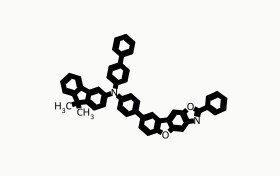 CC1(C)c2ccccc2-c2cc(N(c3ccc(-c4ccccc4)cc3)c3ccc(-c4ccc5oc6cc7nc(-c8ccccc8)oc7cc6c5c4)cc3)ccc21